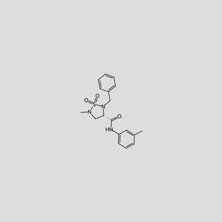 Cc1cccc(NC(=O)[C@@H]2CN(C)S(=O)(=O)N2Cc2ccccc2)c1